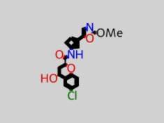 COc1ncc(C2CC3(NC(=O)[C@@H]4C[C@@H](O)c5cc(Cl)ccc5O4)CC2C3)o1